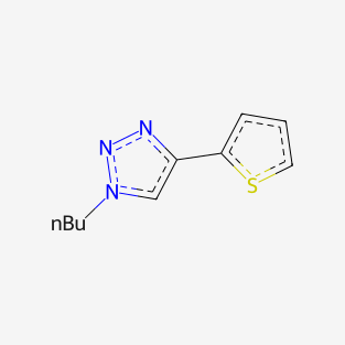 CCCCn1cc(-c2cccs2)nn1